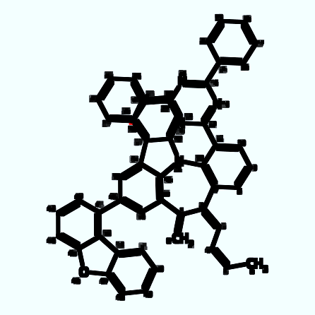 C=C1/C(=C\C=C/C)c2cccc(-c3nc(-c4ccccc4)nc(-c4ccccc4)n3)c2-n2c3ccccc3c3cc(-c4cccc5oc6ccccc6c45)cc1c32